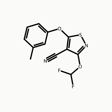 Cc1cccc(Oc2snc(OC(F)F)c2C#N)c1